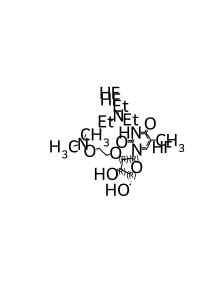 CCN(CC)CC.Cc1cn([C@@H]2O[C@H](CO)[C@@H](O)[C@H]2OCCON(C)C)c(=O)[nH]c1=O.F.F.F